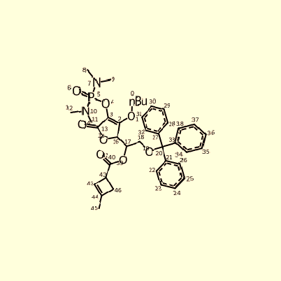 CCCCOC1=C(OP(=O)(N(C)C)N(C)C)C(=O)OC1C(COC(c1ccccc1)(c1ccccc1)c1ccccc1)OC(=O)C1C=C(C)C1